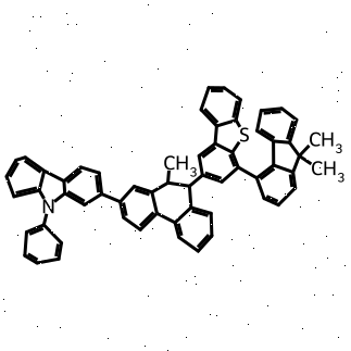 CC1c2cc(-c3ccc4c5ccccc5n(-c5ccccc5)c4c3)ccc2-c2ccccc2C1c1cc(-c2cccc3c2-c2ccccc2C3(C)C)c2sc3ccccc3c2c1